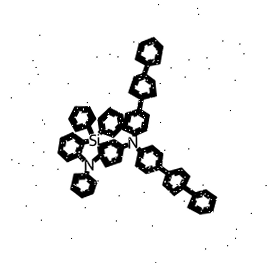 c1ccc(-c2ccc(-c3ccc(N(c4ccc(-c5ccc(-c6ccccc6)cc5)cc4)c4ccc5c(c4)[Si](c4ccccc4)(c4ccccc4)c4ccccc4N5c4ccccc4)cc3)cc2)cc1